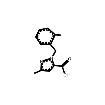 Cc1cc(C(=O)O)n(Cc2ccccc2C)n1